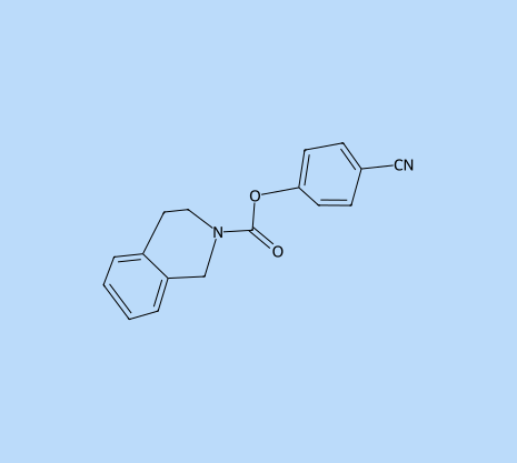 N#Cc1ccc(OC(=O)N2CCc3ccccc3C2)cc1